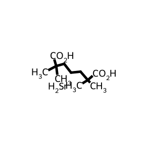 CC(C)(CCCC(C)(C)C(=O)O)C(=O)O.[SrH2]